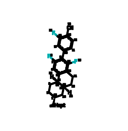 CCCCCCC[C@@H]1CC[C@@H]2c3cc(F)c(-c4ccc(C#N)c(F)c4)c(F)c3CC[C@H]2C1